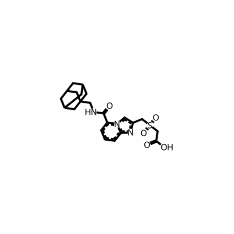 O=C(O)CS(=O)(=O)Cc1cn2c(C(=O)NCC34CC5CC(CC(C5)C3)C4)cccc2n1